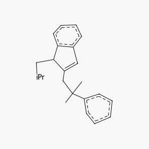 CC(C)CC1C(CC(C)(C)c2ccccc2)=Cc2ccccc21